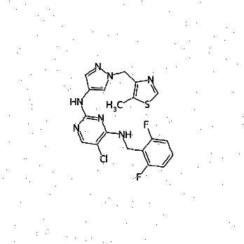 Cc1scnc1Cn1cc(Nc2ncc(Cl)c(NCc3c(F)cccc3F)n2)cn1